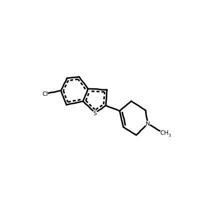 CN1CC=C(c2cc3ccc(Cl)cc3s2)CC1